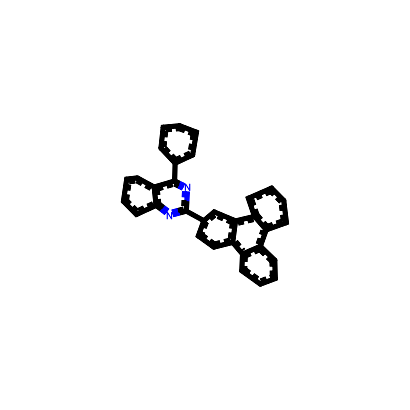 c1ccc(-c2nc(-c3ccc4c5ccccc5c5ccccc5c4c3)nc3ccccc23)cc1